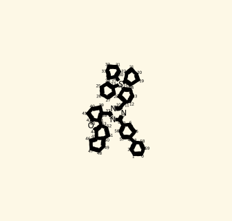 c1ccc(-c2ccc(-c3nc(-c4cccc(S(c5ccccc5)(c5ccccc5)c5ccccc5)c4)nc(-c4cccc5oc6c7ccccc7ccc6c45)n3)cc2)cc1